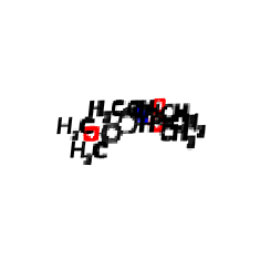 COc1cc2c(cc1C)C[C@H]1N(C(=O)OC(C)(C)C)CC[C@]2(C)C1(C)C